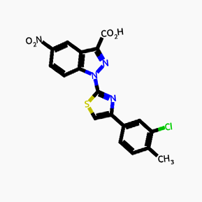 Cc1ccc(-c2csc(-n3nc(C(=O)O)c4cc([N+](=O)[O-])ccc43)n2)cc1Cl